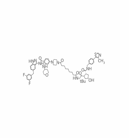 Cc1ncsc1-c1ccc(CNC(=O)[C@@H]2C[C@@H](O)CC2C(=O)[C@@H](NC(=O)CCCCCCCC(=O)N2CCN(c3ccc(C(=O)Nc4n[nH]c5ccc(Cc6cc(F)cc(F)c6)cc45)c(NC4CCOCC4)c3)CC2)C(C)(C)C)cc1